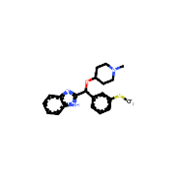 CN1CCC(OC(c2cccc(SC(F)(F)F)c2)c2nc3ccccc3[nH]2)CC1